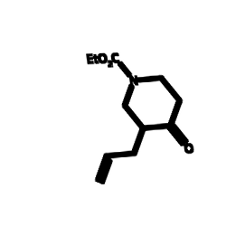 C=CCC1CN(C(=O)OCC)CCC1=O